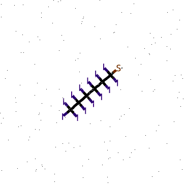 [S]C(I)(I)C(I)(I)C(I)(I)C(I)(I)C(I)(I)C(I)(I)I